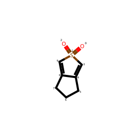 O=S1(=O)C=C2CCCC2=C1